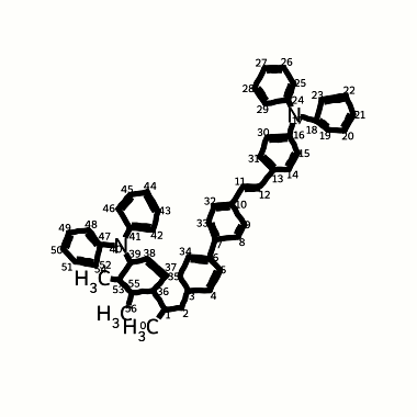 CC(CC1C=CC(c2ccc(/C=C/c3ccc(N(c4ccccc4)c4ccccc4)cc3)cc2)=CC1)C1C=CC(N(c2ccccc2)c2ccccc2)C(C)C1C